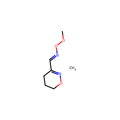 C.COO/N=C/C1=NOCCC1